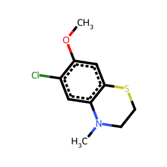 COc1cc2c(cc1Cl)N(C)CCS2